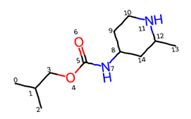 CC(C)COC(=O)NC1CCNC(C)C1